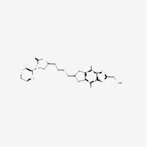 CN(C)Cc1nc2c(F)c3c(c(F)c2[nH]1)CC(CNCCC1CN(C2=CNCC=N2)C(=O)O1)C3